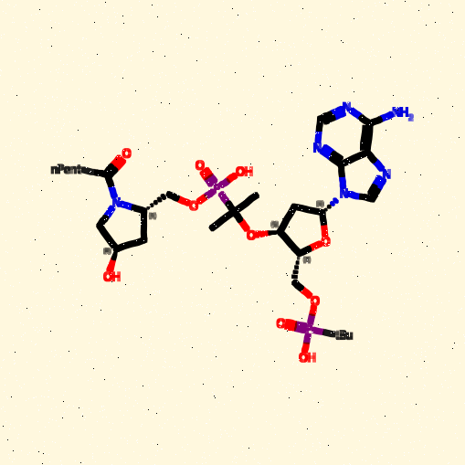 CCCCCC(=O)N1C[C@H](O)C[C@H]1COP(=O)(O)C(C)(C)O[C@H]1C[C@H](n2cnc3c(N)ncnc32)O[C@@H]1COP(=O)(O)C(C)(C)C